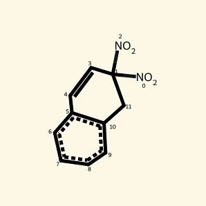 O=[N+]([O-])C1([N+](=O)[O-])C=Cc2ccccc2C1